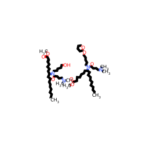 CCCCCCCCCCC(CCCCC=CC(=O)OC)N(CCCCCO)C(=O)CCCN(C)C.CCCCCCCCCCC(CCCCCCC(=O)OC)N(CCCCCOC1CCCCO1)C(=O)CCCN(C)C